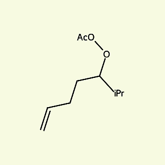 C=CCCC(OOC(C)=O)C(C)C